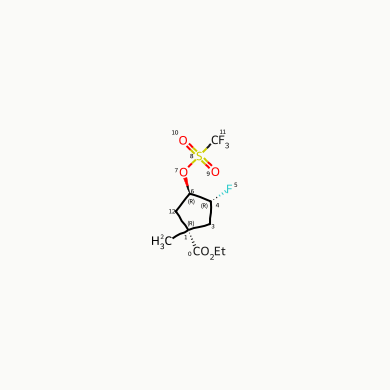 CCOC(=O)[C@@]1(C)C[C@@H](F)[C@H](OS(=O)(=O)C(F)(F)F)C1